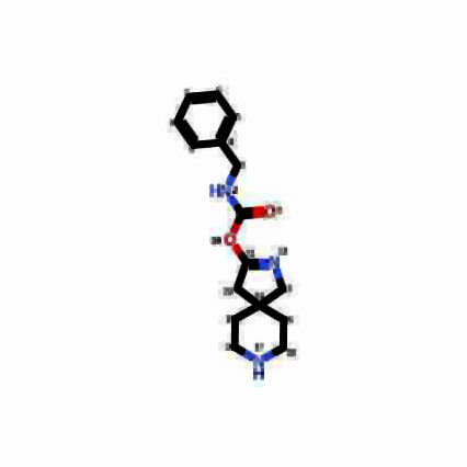 O=C(NCc1ccccc1)OC1=NCC2(CCNCC2)C1